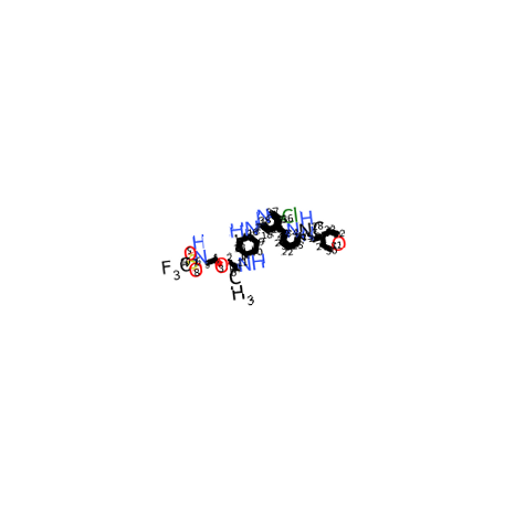 C[C@H](COCCNS(=O)(=O)C(F)(F)F)N[C@H]1CC[C@H](Nc2cc(-c3cccc(NCC4(C#N)CCOCC4)n3)c(Cl)cn2)CC1